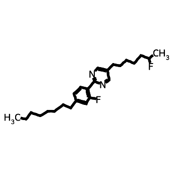 CCCCCCCCc1ccc(-c2ncc(CCCCCC(C)F)cn2)c(F)c1